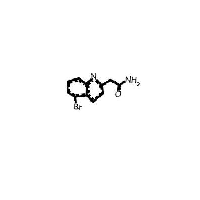 NC(=O)Cc1ccc2c(Br)cccc2n1